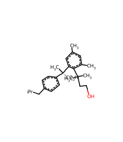 Cc1cc(C)c(C(C)(C)CCO)c([C@@](C)(C(=O)O)c2ccc(CC(C)C)cc2)c1